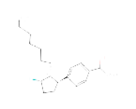 CCCCCC(O)c1ccc([C@H]2CC[C@@H](F)[C@@H]2CCCCCCC(=O)O)cc1